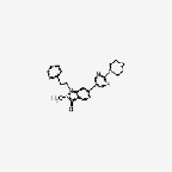 Cn1c(=O)c2ccc(-c3cnc(N4CCOCC4)nc3)cc2n1CCc1ccccc1